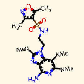 CNc1nc(N)c2nc(NC)n(CCNS(=O)(=O)c3c(C)noc3C)c2c1NC